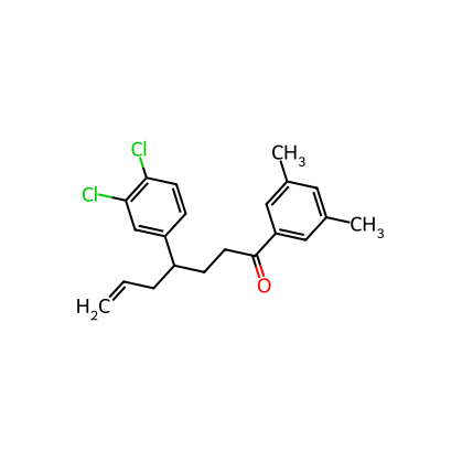 C=CCC(CCC(=O)c1cc(C)cc(C)c1)c1ccc(Cl)c(Cl)c1